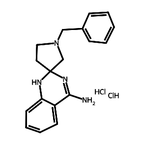 Cl.Cl.NC1=NC2(CCN(Cc3ccccc3)C2)Nc2ccccc21